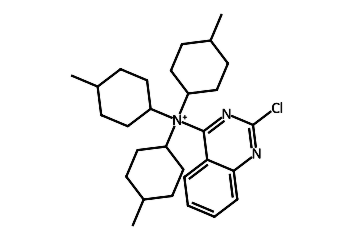 CC1CCC([N+](c2nc(Cl)nc3ccccc23)(C2CCC(C)CC2)C2CCC(C)CC2)CC1